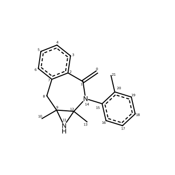 C=C1c2ccccc2CC2(C)NC2(C)N1c1ccccc1C